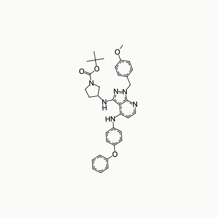 COc1ccc(Cn2nc(NC3CCN(C(=O)OC(C)(C)C)C3)c3c(Nc4ccc(Oc5ccccc5)cc4)ccnc32)cc1